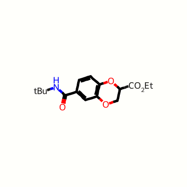 CCOC(=O)C1COc2cc(C(=O)NC(C)(C)C)ccc2O1